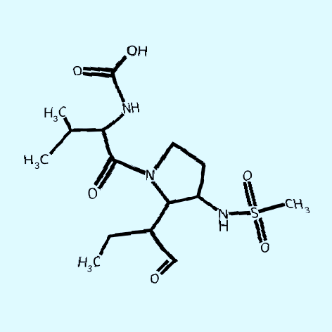 CCC(C=O)C1C(NS(C)(=O)=O)CCN1C(=O)C(NC(=O)O)C(C)C